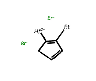 CCC1=[C]([Hf+2])CC=C1.[Br-].[Br-]